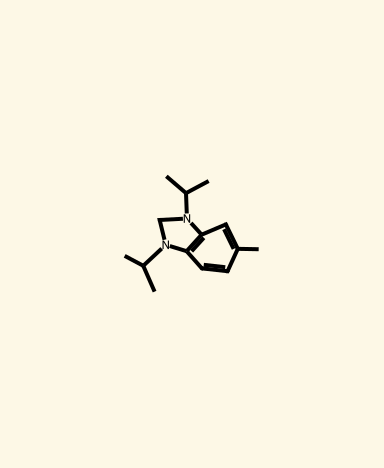 Cc1ccc2c(c1)N(C(C)C)CN2C(C)C